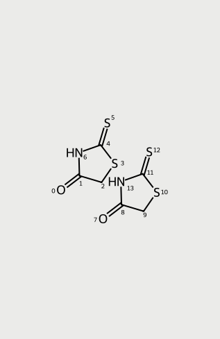 O=C1CSC(=S)N1.O=C1CSC(=S)N1